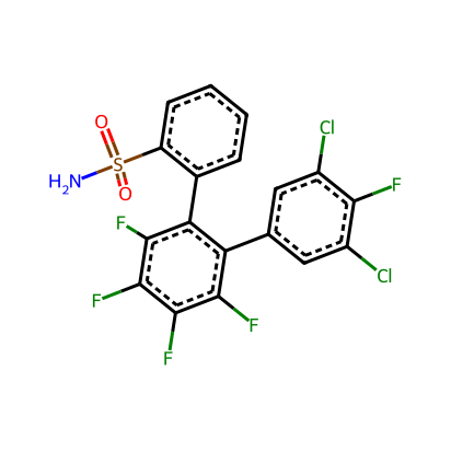 NS(=O)(=O)c1ccccc1-c1c(F)c(F)c(F)c(F)c1-c1cc(Cl)c(F)c(Cl)c1